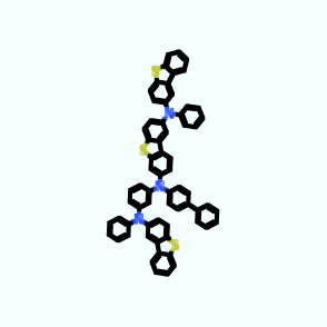 c1ccc(-c2ccc(N(c3cccc(N(c4ccccc4)c4ccc5sc6ccccc6c5c4)c3)c3ccc4c(c3)sc3ccc(N(c5ccccc5)c5ccc6sc7ccccc7c6c5)cc34)cc2)cc1